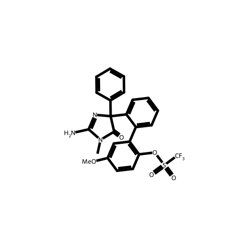 COc1ccc(OS(=O)(=O)C(F)(F)F)c(-c2ccccc2C2(c3ccccc3)N=C(N)N(C)C2=O)c1